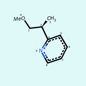 COC[C@@H](C)c1ccccn1